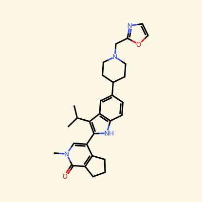 CC(C)c1c(-c2cn(C)c(=O)c3c2CCC3)[nH]c2ccc(C3CCN(Cc4ncco4)CC3)cc12